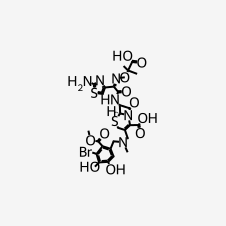 COC(=O)c1c(CN(C)CC2=C(C(=O)O)N3C(=O)C(NC(=O)/C(=N\OC(C)(C)C(=O)O)c4csc(N)n4)[C@@H]3SC2)cc(O)c(O)c1Br